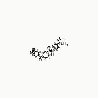 CCC(C)c1ccc(NC(=O)N2CCCN(C(=O)C3CCS(=O)(=O)CC3)CC2)nc1